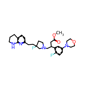 COC(=O)CC(CN1CCC(F)(CCc2ccc3c(n2)NCCC3)C1)c1cc(N2CCOCC2)ccc1F